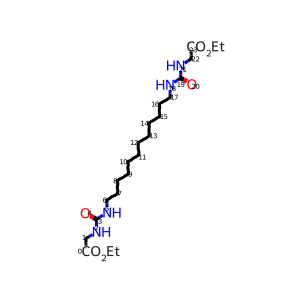 CCOC(=O)CNC(=O)NCCCCCCCCCCCCNC(=O)NCC(=O)OCC